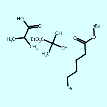 CC(C)C(=O)O.CCCCOC(=O)CCCCC(C)C.CCOC(=O)C(C)(C)O